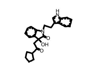 O=C(CC1(O)C(=O)N(CCc2c[nH]c3ccccc23)c2ccccc21)C1CCCC1